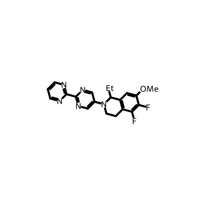 CCC1c2cc(OC)c(F)c(F)c2CCN1c1cnc(-c2ncccn2)nc1